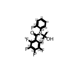 CC(C)(O)N(C(=O)c1c(F)c(F)c(F)c(F)c1F)c1ccccc1F